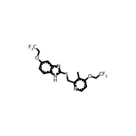 Cc1c(OCC(F)(F)F)ccnc1CSc1nc2cc(OCC(F)(F)F)ccc2[nH]1